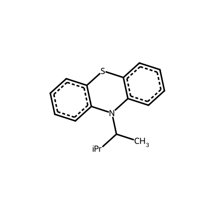 CC(C)C(C)N1c2ccccc2Sc2ccccc21